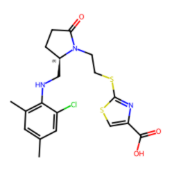 Cc1cc(C)c(NC[C@H]2CCC(=O)N2CCSc2nc(C(=O)O)cs2)c(Cl)c1